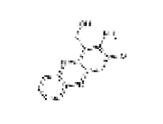 Nc1c(CO)c2nc3ccccc3oc-2cc1=O